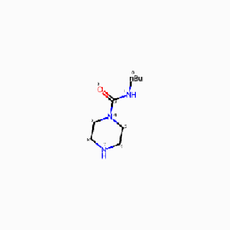 CCCCNC(=O)N1CCNCC1